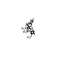 Cc1cc(NC(=O)c2c3c(c(C)n2C)C(=O)N[C@H](C(F)(F)F)CO3)ccc1F